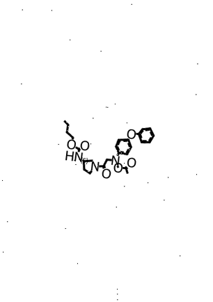 CCCCOC(=O)N[C@H]1CCN(C(=O)CN(OC(C)=O)c2ccc(Oc3ccccc3)cc2)C1